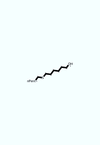 CCCCCCSCCCCCCO